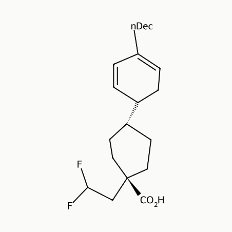 CCCCCCCCCCC1=CCC([C@H]2CC[C@](CC(F)F)(C(=O)O)CC2)C=C1